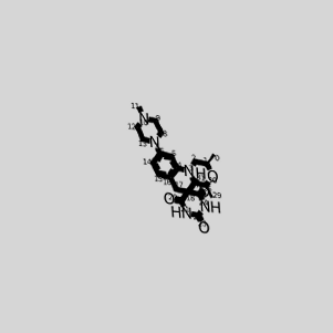 C[C@@H]1CN2c3cc(N4CCN(C)CC4)ccc3CC3(C(=O)NC(=O)NC3=O)[C@H]2[C@H](C)O1